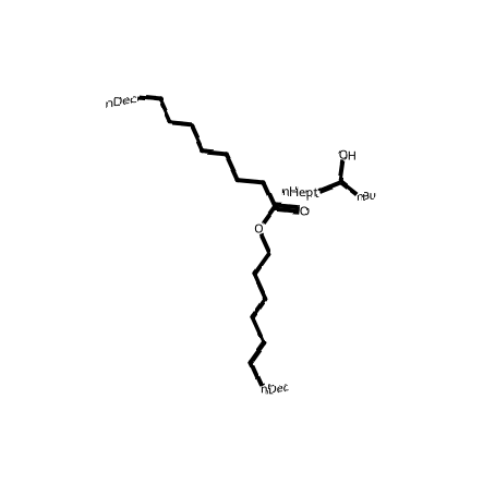 CCCCCCCC(O)CCCC.CCCCCCCCCCCCCCCCCC(=O)OCCCCCCCCCCCCCCCC